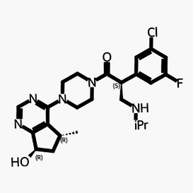 CC(C)NC[C@@H](C(=O)N1CCN(c2ncnc3c2[C@H](C)C[C@H]3O)CC1)c1cc(F)cc(Cl)c1